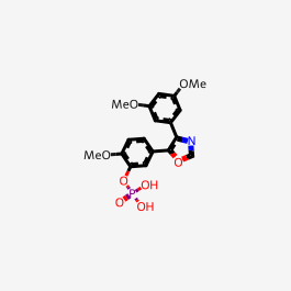 COc1cc(OC)cc(-c2ncoc2-c2ccc(OC)c(OP(=O)(O)O)c2)c1